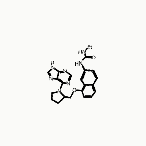 CCNC(=O)Nc1ccc2cccc(OCC3CCCN3c3ncnc4[nH]cnc34)c2c1